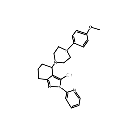 COc1ccc(N2CCN(C3CCCc4nn(-c5ccccn5)c(O)c43)CC2)cc1